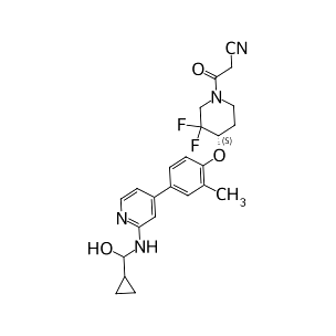 Cc1cc(-c2ccnc(NC(O)C3CC3)c2)ccc1O[C@H]1CCN(C(=O)CC#N)CC1(F)F